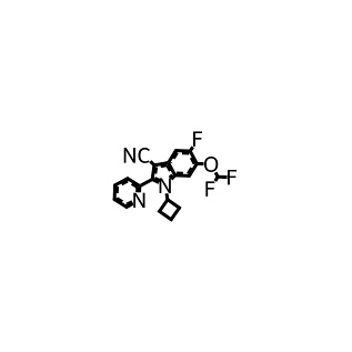 N#Cc1c(-c2ccccn2)n(C2CCC2)c2cc(OC(F)F)c(F)cc12